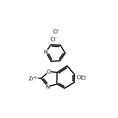 [Cl-].[Cl-].[Cl-].[Cl-].[Zr+4][c]1nc2ccccc2o1.c1ccncc1